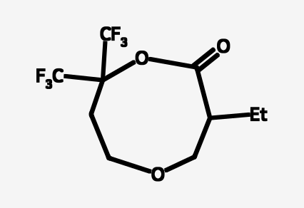 CCC1COCCC(C(F)(F)F)(C(F)(F)F)OC1=O